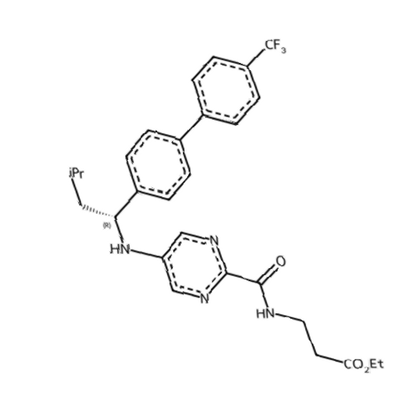 CCOC(=O)CCNC(=O)c1ncc(N[C@H](CC(C)C)c2ccc(-c3ccc(C(F)(F)F)cc3)cc2)cn1